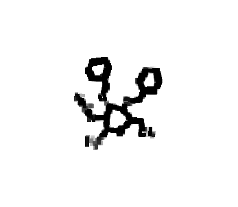 CCC1OC(C)C(N=[N+]=[N-])[C@H](OCc2ccccc2)[C@H]1OCc1ccccc1